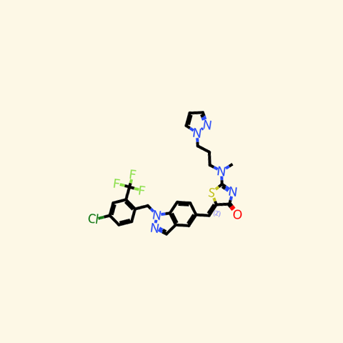 CN(CCCn1cccn1)C1=NC(=O)/C(=C/c2ccc3c(cnn3Cc3ccc(Cl)cc3C(F)(F)F)c2)S1